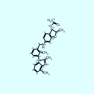 CC(=O)O[C@H]1c2ccc(NCc3cccc(-n4c(C)nc5c(C)cccc54)c3C)cc2OC1C